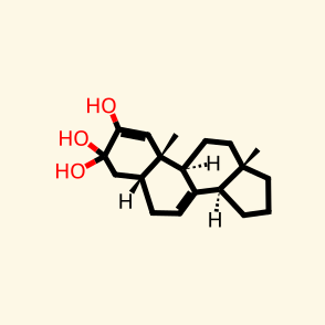 C[C@@]12CCC[C@H]1C1=CC[C@@H]3CC(O)(O)C(O)=C[C@]3(C)[C@H]1CC2